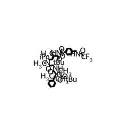 C/C(=C\[C@H](C(C)C)N(C)C(=O)[C@@H](NC(=O)[C@@H](N(C)C(=O)OC(C)(C)C)C(C)(C)c1ccccc1)C(C)(C)C)C(=O)NS(=O)(=O)c1ccc(CNC(=O)C(F)(F)F)cc1